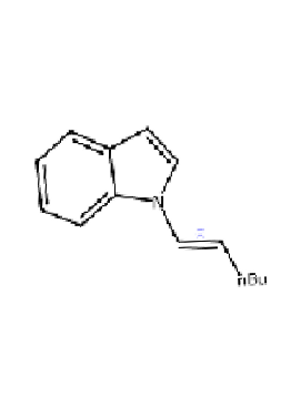 CCCC/C=C/n1ccc2ccccc21